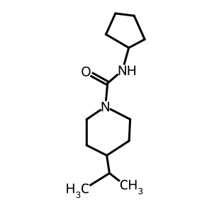 CC(C)C1CCN(C(=O)NC2CCCC2)CC1